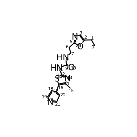 CCc1cnc(CCNC(=O)Nc2nc(C)c(-c3ccncc3)s2)o1